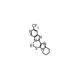 CCSc1c(-c2nc3cc(C(F)(F)F)ncc3n2C)nc2n1CCCC2